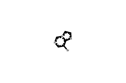 Brc1cncn2c[c]nc12